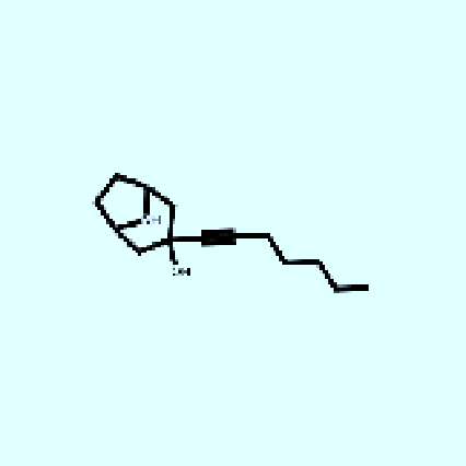 CCCCCC#CC1(O)CC2CCC(C1)N2